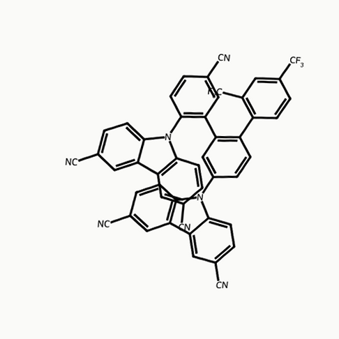 N#Cc1ccc(-n2c3ccc(C#N)cc3c3cc(C#N)ccc32)c(-c2cc(-n3c4ccc(C#N)cc4c4cc(C#N)ccc43)ccc2-c2ccc(C(F)(F)F)cc2C(F)(F)F)c1